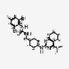 CN(C)c1nc(NC2CCC(CNC(=O)Nc3c(Br)cc(F)cc3Br)CC2)nc2c1CCCC2